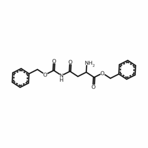 NC(CC(=O)NC(=O)OCc1ccccc1)C(=O)OCc1ccccc1